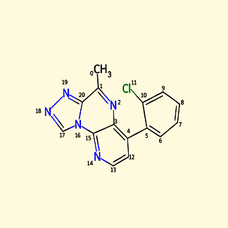 Cc1nc2c(-c3ccccc3Cl)ccnc2n2cnnc12